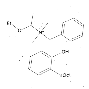 CCCCCCCCc1ccccc1O.CCOC(C)[N+](C)(C)Cc1ccccc1